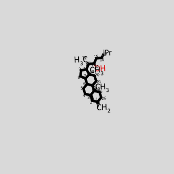 C=C1C=C2CCC3C4CCC([C@H](C)[C@H](O)CCC(C)C)C4(C)CCC3[C@@]2(C)CC1